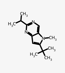 CC(C)c1ncc2c(cc(C(C)(C)C)n2C)n1